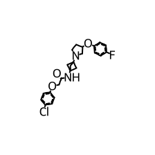 O=C(COc1ccc(Cl)cc1)NC12CC(N3CCC(Oc4ccc(F)cc4)C3)(C1)C2